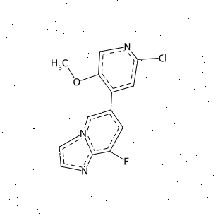 COc1cnc(Cl)cc1-c1cc(F)c2nccn2c1